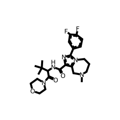 CN1CCCn2c(-c3ccc(F)c(F)c3)nc(C(=O)NC(C(=O)N3CCOCC3)C(C)(C)C)c2C1